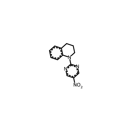 O=[N+]([O-])c1cnc(N2CCCc3ccccc32)nc1